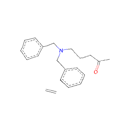 C=C.CC(=O)CCCN(Cc1ccccc1)Cc1ccccc1